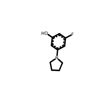 Oc1cc(F)cc(N2CCCC2)c1